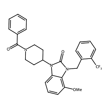 COc1cccc2c1n(Cc1ccccc1C(F)(F)F)c(=O)n2C1CCN(C(=O)c2ccccc2)CC1